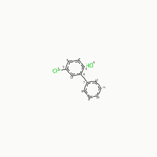 Cl.Clc1cccc(-c2ccccc2)c1